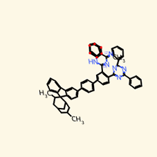 C/N=C(\N=C(/NC1=CC=CCC1)c1cc(-c2ccc(-c3ccc4c(c3)-c3ccccc3C43C(C)CC4CC(C)CC3C4)cc2)ccc1-c1nc(-c2ccccc2)nc(-c2ccccc2)n1)c1ccccc1